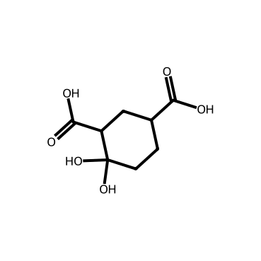 O=C(O)C1CCC(O)(O)C(C(=O)O)C1